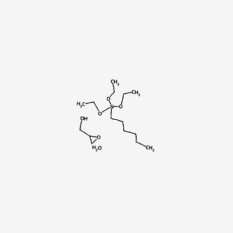 CCCCCC[Si](OCC)(OCC)OCC.O.OCC1CO1